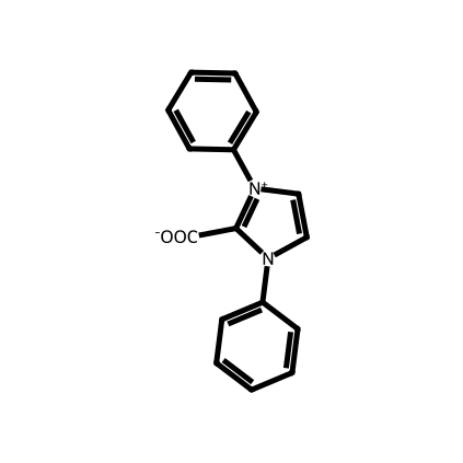 O=C([O-])c1n(-c2ccccc2)cc[n+]1-c1ccccc1